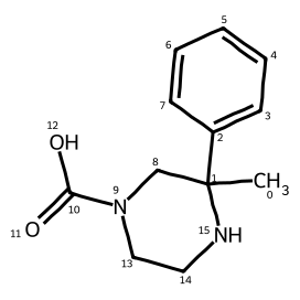 CC1(c2ccccc2)CN(C(=O)O)CCN1